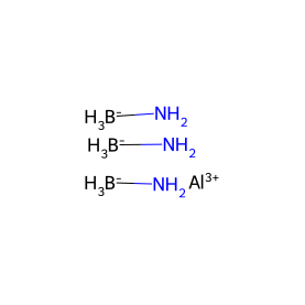 [Al+3].[BH3-]N.[BH3-]N.[BH3-]N